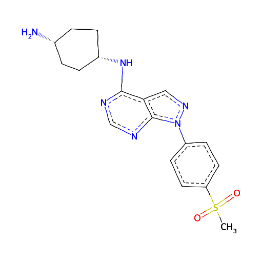 CS(=O)(=O)c1ccc(-n2ncc3c(N[C@H]4CC[C@@H](N)CC4)ncnc32)cc1